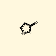 O=c1c[c][nH]o1